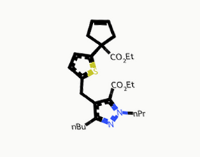 CCCCc1nn(CCC)c(C(=O)OCC)c1Cc1ccc(C2(C(=O)OCC)CC=CC2)s1